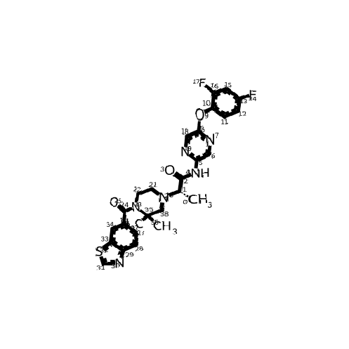 C[C@@H](C(=O)Nc1cnc(Oc2ccc(F)cc2F)cn1)N1CCN(C(=O)c2ccc3ncsc3c2)C(C)(C)C1